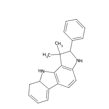 CC1(C)c2c(ccc3c2NC2CC=CC=C32)NC1c1ccccc1